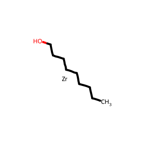 CCCCCCCCCO.[Zr]